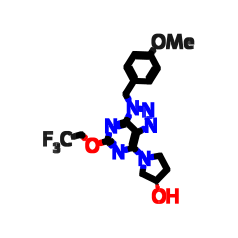 COc1ccc(Cn2nnc3c(N4CC[C@H](O)C4)nc(OCC(F)(F)F)nc32)cc1